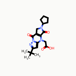 CC(C)(C)c1cc2n(CC(=O)O)c3c(c(=O)n2n1)CN(C1CCCC1)C3=O